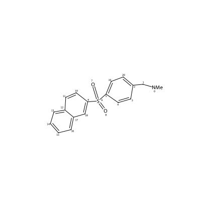 CNCc1ccc(S(=O)(=O)c2ccc3ccccc3c2)cc1